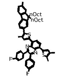 CCCCCCCCC1(CCCCCCCC)c2cc(C)ccc2-c2ccc(-c3sc(-c4ccc(-c5cc(C)c(C)s5)c5nc(-c6ccc(F)cc6)c(-c6ccc(F)cc6)nc45)cc3C)cc21